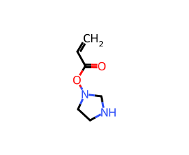 C=CC(=O)ON1CCNC1